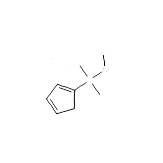 C[Si](C)(NC=O)C1=CC=CC1.[LiH].[LiH]